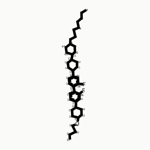 CCCCCCCCC1CCC(C2CCC(c3ccc(-c4ccc(C5CCC(OCCCC)CC5)cc4F)c(F)c3)CC2)CC1